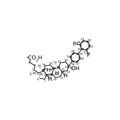 C[C@H](CCC(=O)O)[C@H]1CC[C@H]2[C@@H]3CC[C@@H]4C[C@](O)(c5ccc(-c6c(F)cccc6F)cc5)CC[C@]4(C)[C@H]3CC[C@]12C